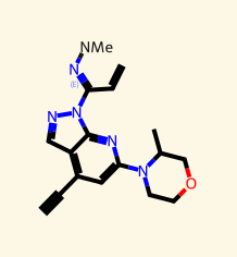 C#Cc1cc(N2CCOCC2C)nc2c1cnn2/C(C=C)=N/NC